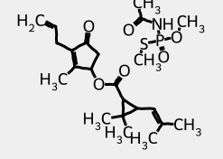 C=CCC1=C(C)C(OC(=O)C2C(C=C(C)C)C2(C)C)CC1=O.COP(=O)(NC(C)=O)SC